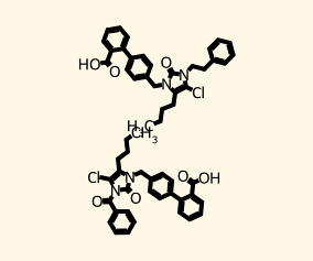 CCCCc1c(Cl)n(C(=O)c2ccccc2)c(=O)n1Cc1ccc(-c2ccccc2C(=O)O)cc1.CCCCc1c(Cl)n(CCc2ccccc2)c(=O)n1Cc1ccc(-c2ccccc2C(=O)O)cc1